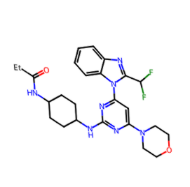 CCC(=O)NC1CCC(Nc2nc(N3CCOCC3)cc(-n3c(C(F)F)nc4ccccc43)n2)CC1